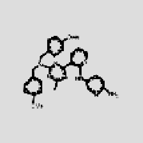 COc1ccc(CN(Cc2ccc(OC)cc2)c2nc(C)nc(-c3cccnc3Nc3ccc(N)nc3)n2)cc1